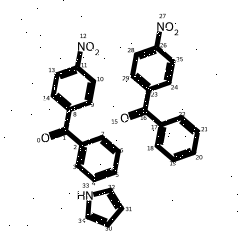 O=C(c1ccccc1)c1ccc([N+](=O)[O-])cc1.O=C(c1ccccc1)c1ccc([N+](=O)[O-])cc1.c1cc[nH]c1